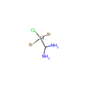 N[CH](N)[Sn]([Cl])([Br])[Br]